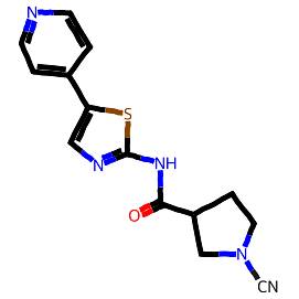 N#CN1CCC(C(=O)Nc2ncc(-c3ccncc3)s2)C1